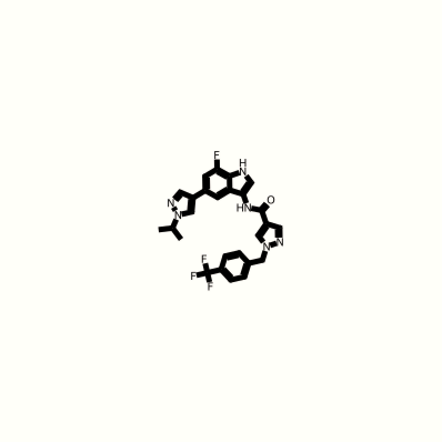 CC(C)n1cc(-c2cc(F)c3[nH]cc(NC(=O)c4cnn(Cc5ccc(C(F)(F)F)cc5)c4)c3c2)cn1